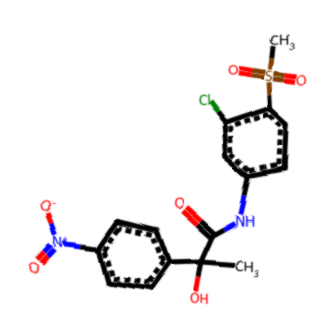 CC(O)(C(=O)Nc1ccc(S(C)(=O)=O)c(Cl)c1)c1ccc([N+](=O)[O-])cc1